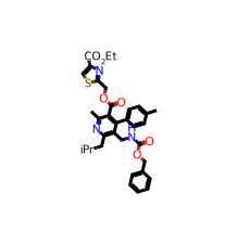 CCOC(=O)c1csc(COC(=O)c2c(C)nc(CC(C)C)c(CNC(=O)OCc3ccccc3)c2-c2ccc(C)cc2)n1